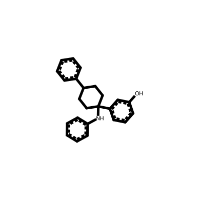 Oc1cccc(C2(Nc3ccccc3)CCC(c3ccccc3)CC2)c1